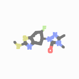 CSc1nc2cc(-n3nc(C)n(C)c3=O)c(F)cc2s1